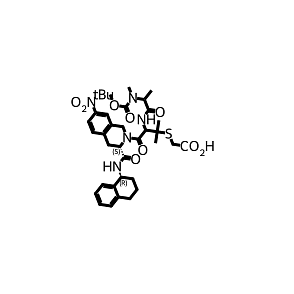 CC(C(=O)NC(C(=O)N1Cc2cc([N+](=O)[O-])ccc2C[C@H]1C(=O)N[C@@H]1CCCc2ccccc21)C(C)(C)SCC(=O)O)N(C)C(=O)OC(C)(C)C